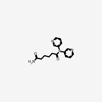 NC(=O)CCCCC(=O)N(c1cccnc1)c1cccnc1